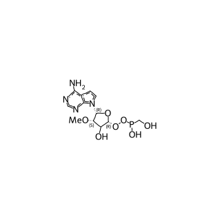 CO[C@H]1C(O)[C@@H](OOP(O)CO)O[C@H]1n1ccc2c(N)ncnc21